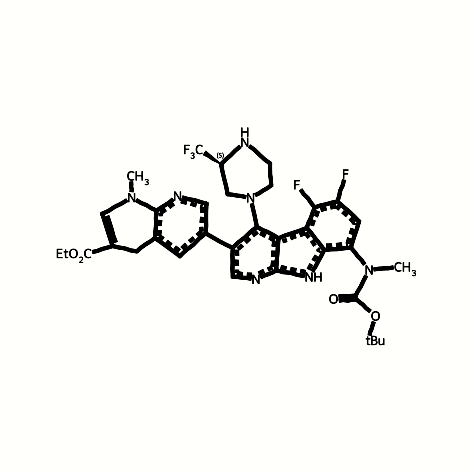 CCOC(=O)C1=CN(C)c2ncc(-c3cnc4[nH]c5c(N(C)C(=O)OC(C)(C)C)cc(F)c(F)c5c4c3N3CCN[C@H](C(F)(F)F)C3)cc2C1